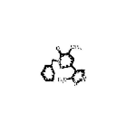 Cc1oncc1-c1cc(C)c(=O)n(Cc2ccccc2)n1